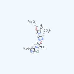 COCCCO[C@H]1CN(c2cnc(O[C@@H]3CCN(c4cc(OC)ncc4Cl)C[C@@H]3C)nc2)[C@@H](CC(=O)O)[C@@H]1C